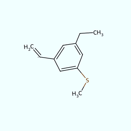 C=[C]c1cc(CC)cc(SC)c1